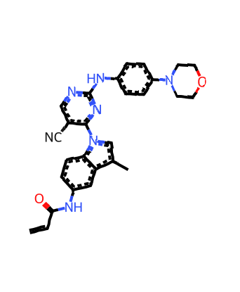 C=CC(=O)Nc1ccc2c(c1)c(C)cn2-c1nc(Nc2ccc(N3CCOCC3)cc2)ncc1C#N